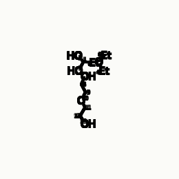 CCC(O)O.CCOCC.OCCOCCO